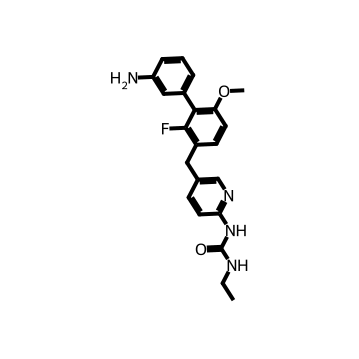 CCNC(=O)Nc1ccc(Cc2ccc(OC)c(-c3cccc(N)c3)c2F)cn1